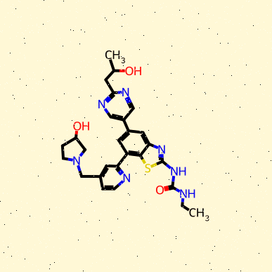 CCNC(=O)Nc1nc2cc(-c3cnc(CC(C)O)nc3)cc(-c3cc(CN4CCC(O)C4)ccn3)c2s1